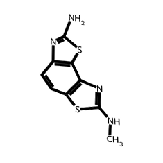 CNc1nc2c(ccc3nc(N)sc32)s1